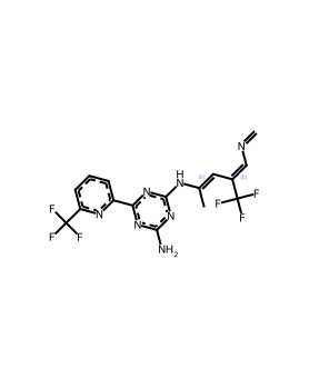 C=N/C=C(\C=C(/C)Nc1nc(N)nc(-c2cccc(C(F)(F)F)n2)n1)C(F)(F)F